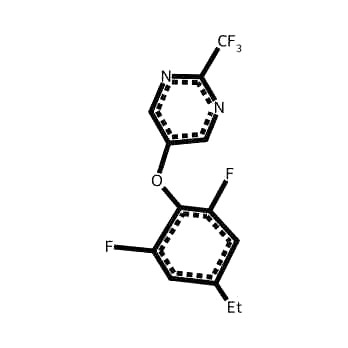 CCc1cc(F)c(Oc2cnc(C(F)(F)F)nc2)c(F)c1